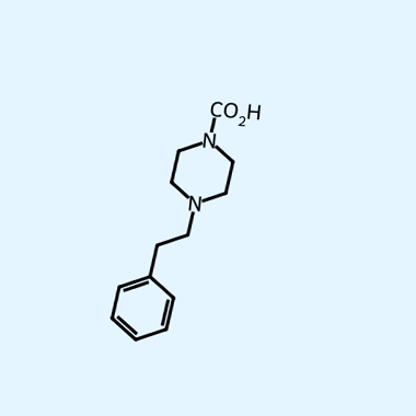 O=C(O)N1CCN(CCc2ccccc2)CC1